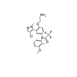 COc1cccc(N(C(=O)C(F)(F)F)c2ccc(OCCN)c(-c3c(Cl)cnn3C)c2)c1C